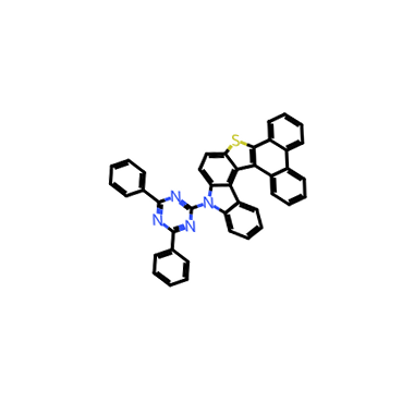 c1ccc(-c2nc(-c3ccccc3)nc(-n3c4ccccc4c4c5c(ccc43)sc3c4ccccc4c4ccccc4c35)n2)cc1